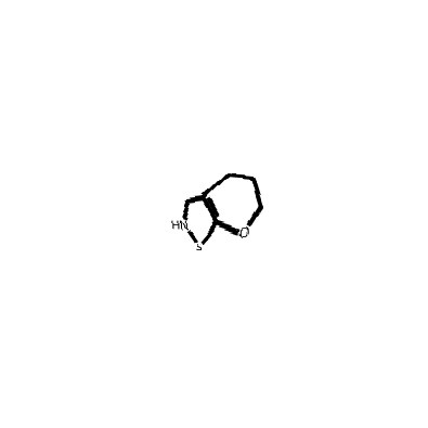 C1COC2=C(C1)CNS2